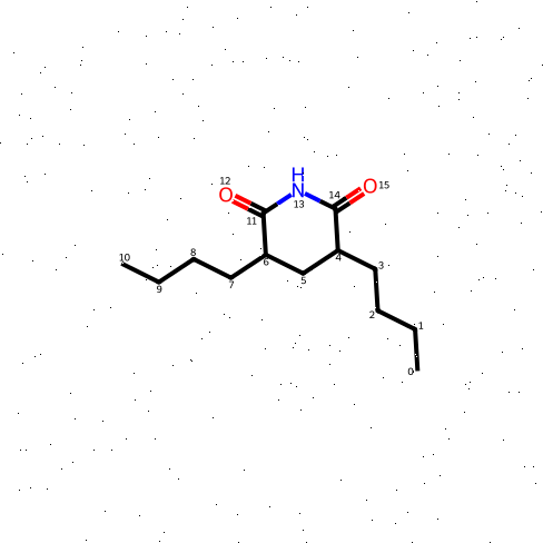 CCCCC1CC(CCCC)C(=O)NC1=O